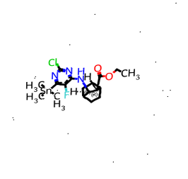 CCOC(=O)[C@@H]1C2CCC(CC2)[C@H]1Nc1nc(Cl)n[c]([Sn]([CH3])([CH3])[CH3])c1F